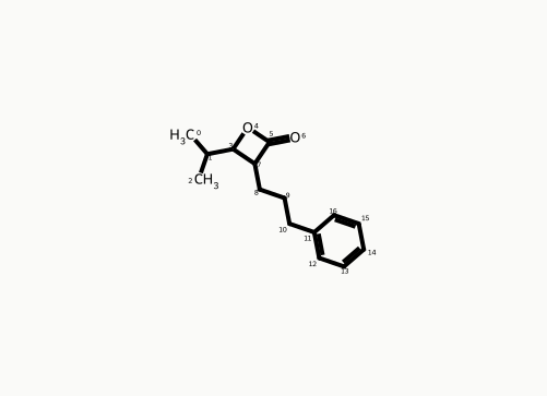 CC(C)C1OC(=O)C1CCCc1ccccc1